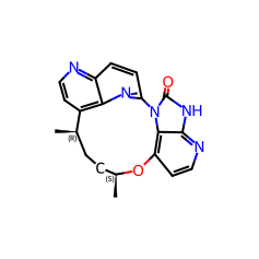 C[C@@H]1CC[C@H](C)Oc2ccnc3[nH]c(=O)n(c23)-c2ccc3nccc1c3n2